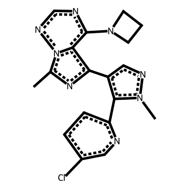 Cc1nc(-c2cnn(C)c2-c2ccc(Cl)cn2)c2c(N3CCC3)ncnn12